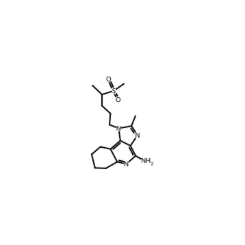 Cc1nc2c(N)nc3c(c2n1CCCC(C)S(C)(=O)=O)CCCC3